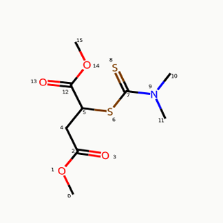 COC(=O)CC(SC(=S)N(C)C)C(=O)OC